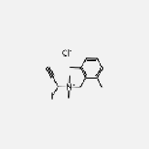 C#CC(I)[N+](C)(C)Cc1c(C)cccc1C.[Cl-]